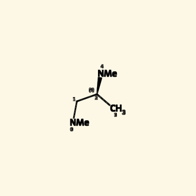 CNC[C@H](C)NC